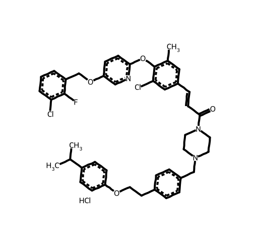 Cc1cc(C=CC(=O)N2CCN(Cc3ccc(CCOc4ccc(C(C)C)cc4)cc3)CC2)cc(Cl)c1Oc1ccc(OCc2cccc(Cl)c2F)cn1.Cl